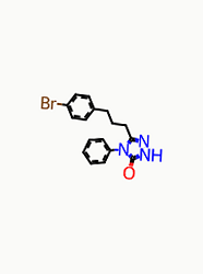 O=c1[nH]nc(CCCc2ccc(Br)cc2)n1-c1ccccc1